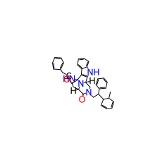 CC1C=CC=CC1C(CN1C[C@H]2c3[nH]c4ccccc4c3C3(NCCc4ccccc4)C(=O)C[C@@H](C1=O)N23)c1ccccc1